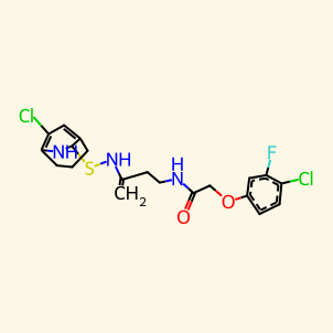 C=C(CCNC(=O)COc1ccc(Cl)c(F)c1)NSC1NC2=C(Cl)C=C1CCC2